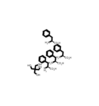 N[C@@H](Cc1ccccc1)C(=O)O.N[C@@H](Cc1ccccc1)C(=O)O.N[C@@H](Cc1ccccc1)C(=O)O.N[C@@H](Cc1ccccc1)C(=O)O.OCC(CO)(CO)CO